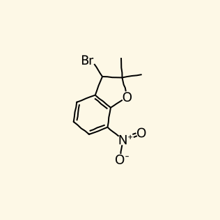 CC1(C)Oc2c(cccc2[N+](=O)[O-])C1Br